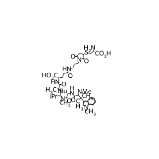 CN[C@H](C(=O)N[C@H](C(=O)N(C)[C@H](/C=C(\C)C(=O)N[C@H](CCC(=O)NCCCN1C(=O)CC(SC[C@H](N)C(=O)O)C1=O)C(=O)O)C(C)C)C(C)(C)C)C(C)(C)c1cn(C)c2ccccc12